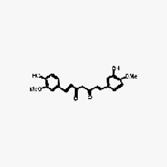 COc1ccc(/C=C/C(=O)CC(=O)/C=C/c2ccc(O)c(OC)c2)cc1O